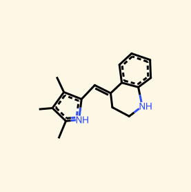 Cc1[nH]c(/C=C2\CCNc3ccccc32)c(C)c1C